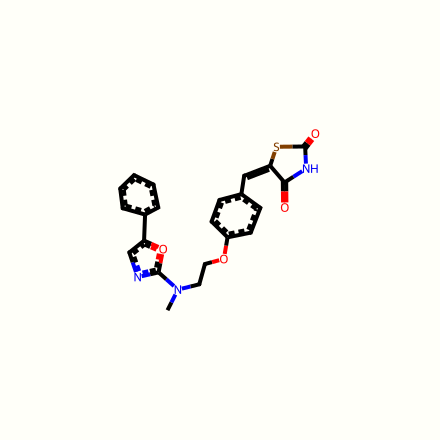 CN(CCOc1ccc(/C=C2/SC(=O)NC2=O)cc1)c1ncc(-c2ccccc2)o1